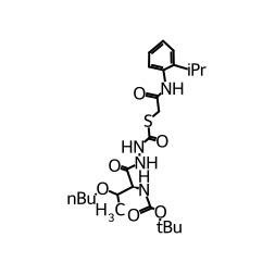 CCCCOC(C)[C@H](NC(=O)OC(C)(C)C)C(=O)NNC(=O)SCC(=O)Nc1ccccc1C(C)C